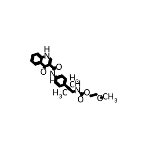 COCCOC(=O)NCC(C)(C)c1ccc(NC(=O)c2c[nH]c3ccccc3c2=O)cc1